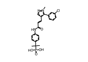 Cn1ncc(C=CC(=O)Nc2ccc(C(C)(C)P(=O)(O)O)cc2)c1-c1cccc(Cl)c1